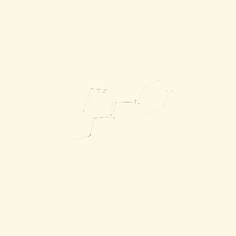 COC(=O)c1cccc(N2CCOCC2)n1